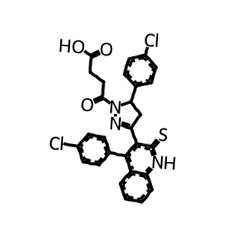 O=C(O)CCC(=O)N1N=C(c2c(-c3ccc(Cl)cc3)c3ccccc3[nH]c2=S)CC1c1ccc(Cl)cc1